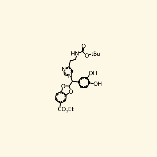 CCOC(=O)c1ccc2c(c1)OC(C(c1ccc(O)c(O)c1)n1cnc(CCNC(=O)OC(C)(C)C)c1)O2